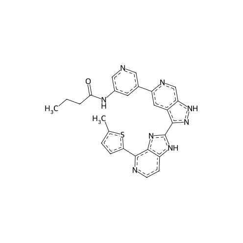 CCCC(=O)Nc1cncc(-c2cc3c(-c4nc5c(-c6ccc(C)s6)nccc5[nH]4)n[nH]c3cn2)c1